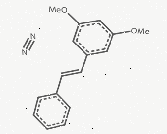 COc1cc(C=Cc2ccccc2)cc(OC)c1.N#N